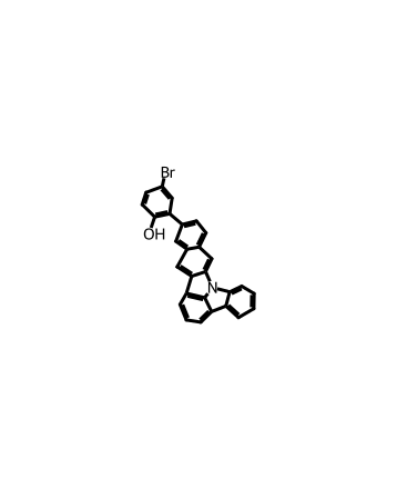 Oc1ccc(Br)cc1-c1ccc2cc3c(cc2c1)c1cccc2c4ccccc4n3c21